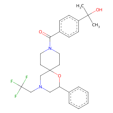 CC(C)(O)c1ccc(C(=O)N2CCC3(CC2)CN(CC(F)(F)F)CC(c2ccccc2)O3)cc1